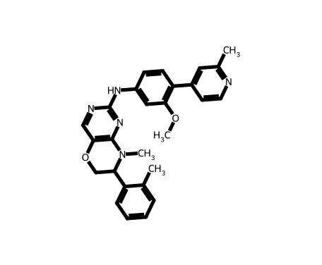 COc1cc(Nc2ncc3c(n2)N(C)C(c2ccccc2C)CO3)ccc1-c1ccnc(C)c1